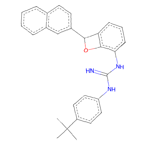 CC(C)(C)c1ccc(NC(=N)Nc2cccc3c2OC3c2ccc3ccccc3c2)cc1